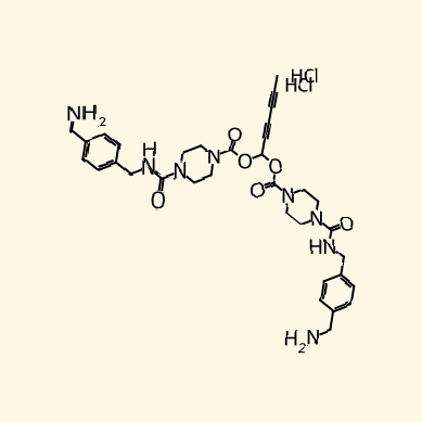 CC#CC#CC(OC(=O)N1CCN(C(=O)NCc2ccc(CN)cc2)CC1)OC(=O)N1CCN(C(=O)NCc2ccc(CN)cc2)CC1.Cl.Cl